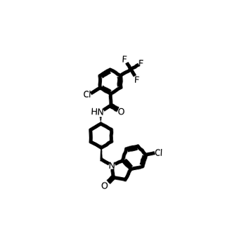 O=C(N[C@H]1CC[C@H](CN2C(=O)Cc3cc(Cl)ccc32)CC1)c1cc(C(F)(F)F)ccc1Cl